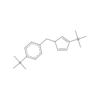 C[Si](C)(C)C1=C[C](Cc2ccc([Si](C)(C)C)cc2)C=C1